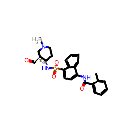 BN1CC[C@H](NS(=O)(=O)c2ccc(NC(=O)c3ccccc3C)c3ccccc23)[C@@H](C=O)C1